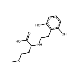 CSCC[C@H](NCCc1c(O)cccc1O)C(=O)O